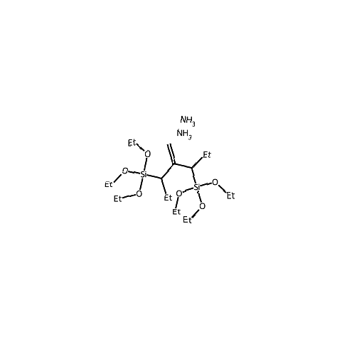 C=C(C(CC)[Si](OCC)(OCC)OCC)C(CC)[Si](OCC)(OCC)OCC.N.N